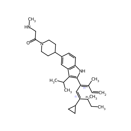 C=C/C(C)=C(\C=C(\C1CC1)[C@H](C)CC)c1[nH]c2ccc(C3CCN(C(=O)CNC)CC3)cc2c1C(C)C